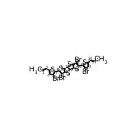 C/C=C/c1cc(Br)c(-c2sc3c(sc4c5sc(-c6sc(/C=C/C)cc6Br)c(Br)c5sc34)c2Br)s1